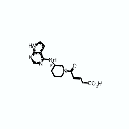 O=C(O)CC=CC(=O)N1CCC[C@@H](Nc2ncnc3[nH]ccc23)C1